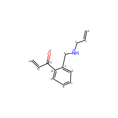 C=CCNCc1ccccc1C(=O)C=C